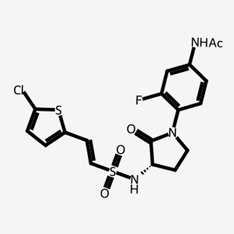 CC(=O)Nc1ccc(N2CC[C@H](NS(=O)(=O)C=Cc3ccc(Cl)s3)C2=O)c(F)c1